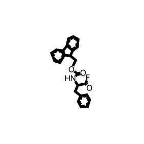 O=C(NC(Cc1ccccc1)C(=O)F)OCC1c2ccccc2-c2ccccc21